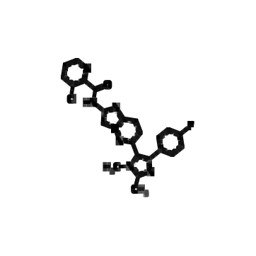 Cc1nc(-c2ccc(F)cc2)c(-c2ccc3nc(NC(=O)c4ncccc4Cl)cn3n2)n1C